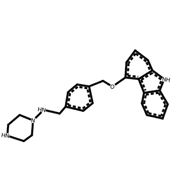 c1ccc2c(c1)[nH]c1cccc(OCc3ccc(CNN4CCNCC4)cc3)c12